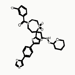 O=C(CC1(c2ccc(-c3ccc(-c4cnco4)cc3)s2)CCN(C(=O)c2cccc(Cl)c2)CCS1(=O)=O)NOC1CCCCO1